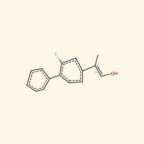 C/C(=C\O)c1ccc(-c2ccccc2)c(F)c1